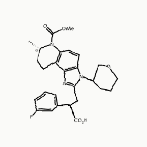 COC(=O)N1c2ccc3c(nc(CC(C(=O)O)c4cccc(F)c4)n3C3CCCOC3)c2CC[C@@H]1C